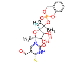 BC(B)(OP1(=O)OCc2ccccc2O1)[C@@]1(F)O[C@@](B)(n2cc(C=O)c(=S)[nH]c2=O)[C@H](O)[C@@H]1O